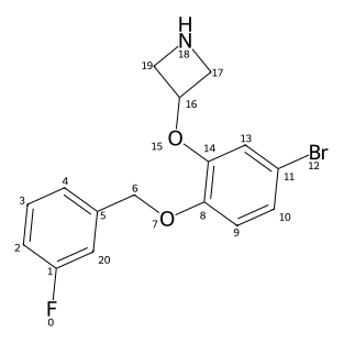 Fc1cccc(COc2ccc(Br)cc2OC2CNC2)c1